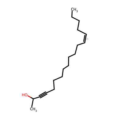 CCCC/C=C\CCCCCCCCC#CC(C)O